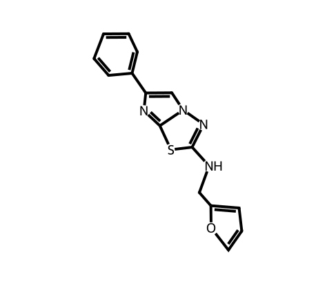 c1ccc(-c2cn3nc(NCc4ccco4)sc3n2)cc1